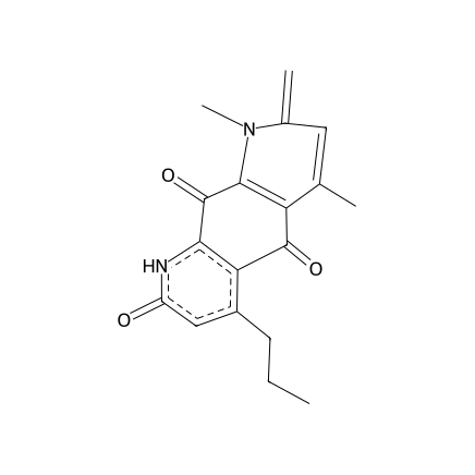 C=C1C=C(C)C2=C(C(=O)c3[nH]c(=O)cc(CCC)c3C2=O)N1C